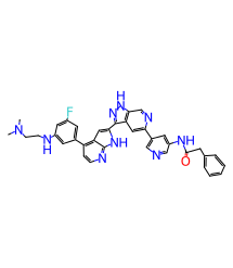 CN(C)CCNc1cc(F)cc(-c2ccnc3[nH]c(-c4n[nH]c5cnc(-c6cncc(NC(=O)Cc7ccccc7)c6)cc45)cc23)c1